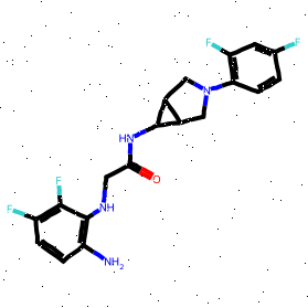 Nc1ccc(F)c(F)c1NCC(=O)NC1C2CN(c3ccc(F)cc3F)CC21